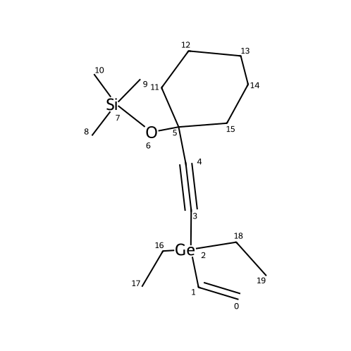 C=[CH][Ge]([C]#CC1(O[Si](C)(C)C)CCCCC1)([CH2]C)[CH2]C